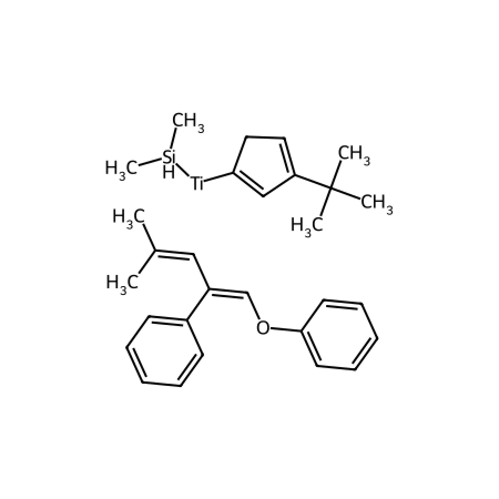 CC(C)=CC(=COc1ccccc1)c1ccccc1.C[SiH](C)[Ti][C]1=CC(C(C)(C)C)=CC1